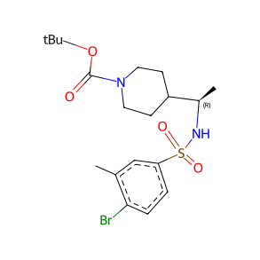 Cc1cc(S(=O)(=O)N[C@H](C)C2CCN(C(=O)OC(C)(C)C)CC2)ccc1Br